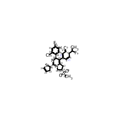 C=C/C=C(\C=C/CC(C)F)C1=C2C[C@H](S(C)(=O)=O)CN2C([C@@H]2CC=CS2)=N[C@H]1c1ccc(F)cc1Cl